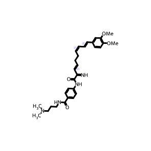 COc1ccc(/C=C/C=C\CC/C=C/C(=N)C(=O)Nc2ccc(C(=O)NCCCN(C)C)cc2)cc1OC